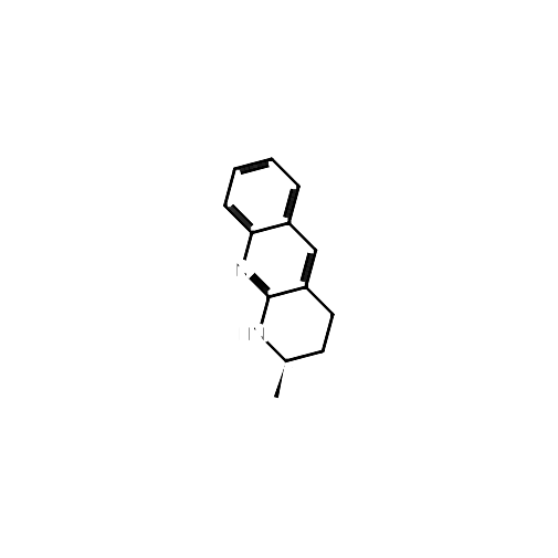 C[C@@H]1CCc2cc3cc[c]cc3nc2N1